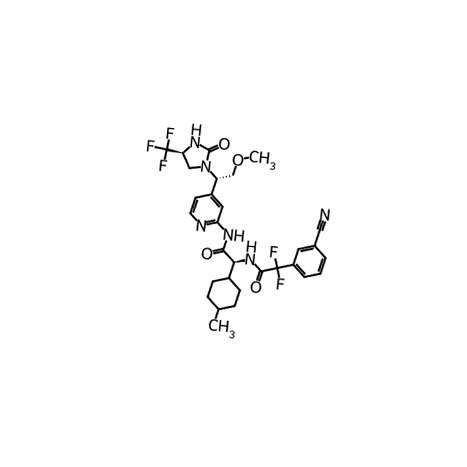 COC[C@H](c1ccnc(NC(=O)[C@@H](NC(=O)C(F)(F)c2cccc(C#N)c2)C2CCC(C)CC2)c1)N1C[C@@H](C(F)(F)F)NC1=O